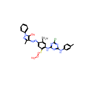 Cc1ccc(Nc2nc(Cl)nc(Nc3cc(S(=O)(=O)O)c(N=Nc4c(C)nn(-c5ccccc5)c4O)cc3SOOO)n2)cc1